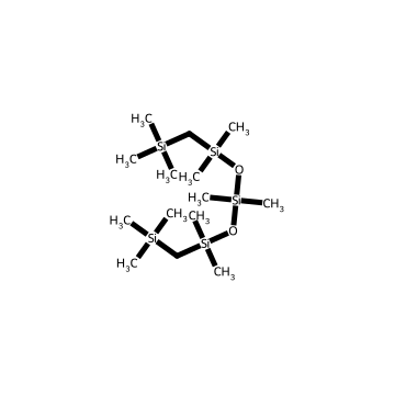 C[Si](C)(C)C[Si](C)(C)O[Si](C)(C)O[Si](C)(C)C[Si](C)(C)C